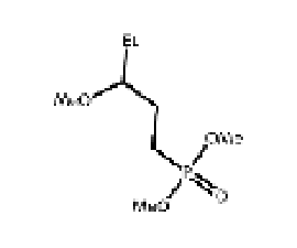 [CH2]CC(CCP(=O)(OC)OC)OC